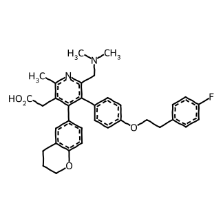 Cc1nc(CN(C)C)c(-c2ccc(OCCc3ccc(F)cc3)cc2)c(-c2ccc3c(c2)CCCO3)c1CC(=O)O